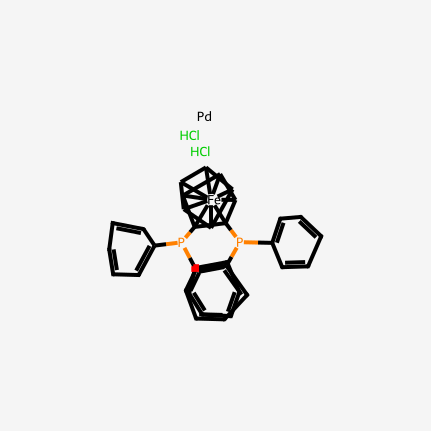 Cl.Cl.[Pd].c1ccc(P(c2ccccc2)[C]23[CH]4[CH]5[CH]6[C]2(P(c2ccccc2)c2ccccc2)[Fe]54632789[CH]3[CH]2[CH]7[CH]8[CH]39)cc1